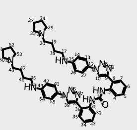 O=C(Nc1ccccc1-c1cn(-c2ccc(NCCCCN3CCCC3)cc2)nn1)Nc1ccccc1-c1cn(-c2ccc(NCCCCN3CCCC3)cc2)nn1